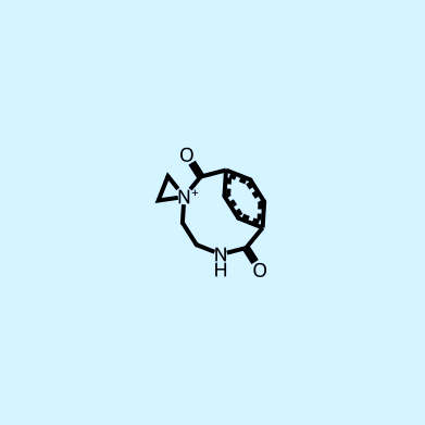 O=C1NCC[N+]2(CC2)C(=O)c2ccc1cc2